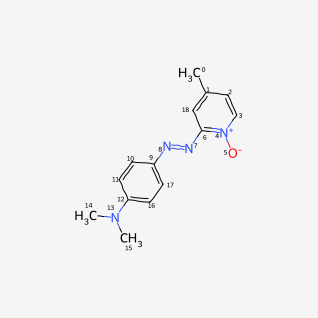 Cc1cc[n+]([O-])c(N=Nc2ccc(N(C)C)cc2)c1